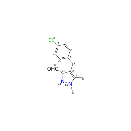 Cc1c(Cc2ccc(Cl)cc2)c(C=O)nn1C